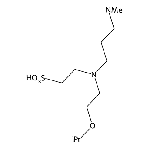 CNCCCN(CCOC(C)C)CCS(=O)(=O)O